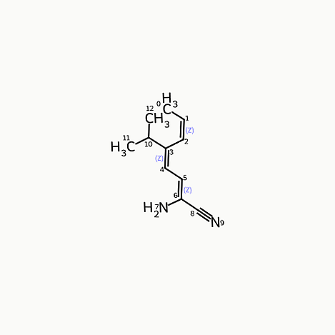 C\C=C/C(=C\C=C(/N)C#N)C(C)C